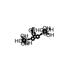 COC(=O)N1CCC2(CC1)c1cc(C#C[C@H]3O[C@H](CO)[C@@H](O)[C@H](O)[C@@H]3O)ccc1-c1ccc(C#C[C@H]3O[C@H](CO)[C@@H](O)[C@H](O)[C@@H]3O)cc12